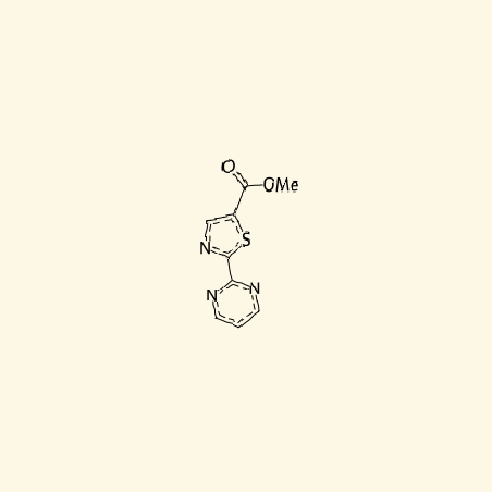 COC(=O)c1cnc(-c2ncccn2)s1